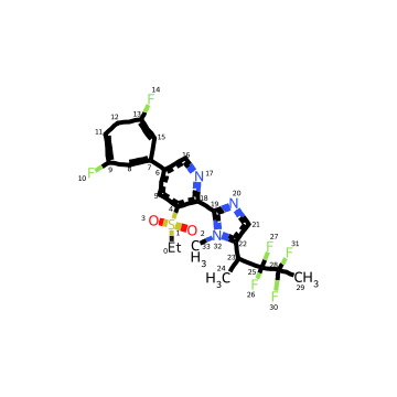 CCS(=O)(=O)c1cc(C2=CC(F)=CCC(F)=C2)cnc1-c1ncc(C(C)C(F)(F)C(C)(F)F)n1C